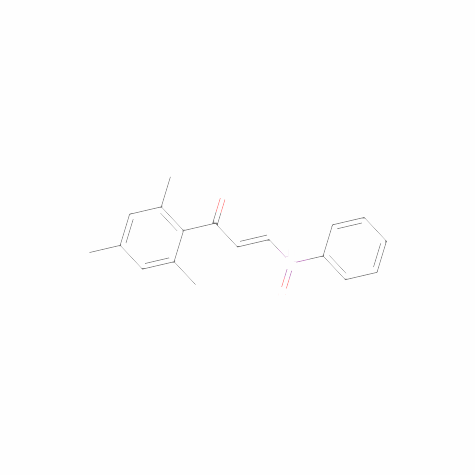 Cc1cc(C)c(C(=O)C=C[PH](=O)c2ccccc2)c(C)c1